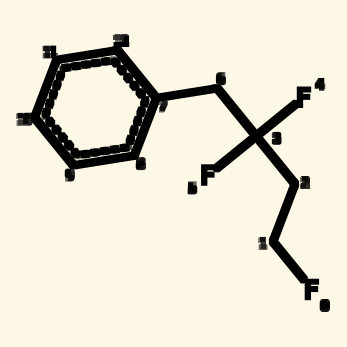 FCCC(F)(F)Cc1ccccc1